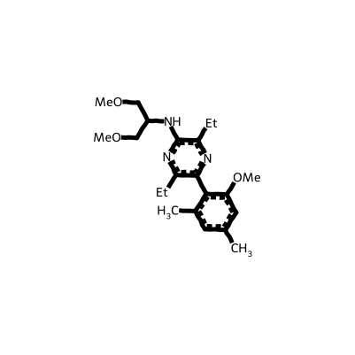 CCc1nc(-c2c(C)cc(C)cc2OC)c(CC)nc1NC(COC)COC